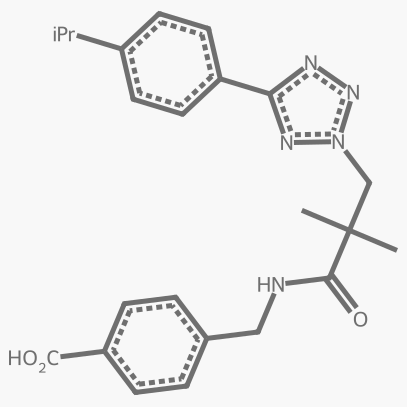 CC(C)c1ccc(-c2nnn(CC(C)(C)C(=O)NCc3ccc(C(=O)O)cc3)n2)cc1